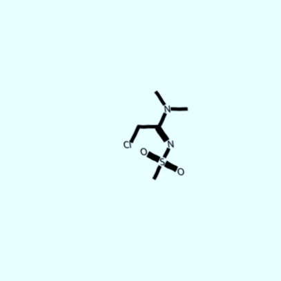 CN(C)C(CCl)=NS(C)(=O)=O